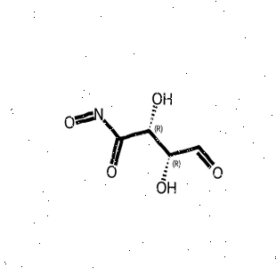 O=C[C@H](O)[C@@H](O)C(=O)N=O